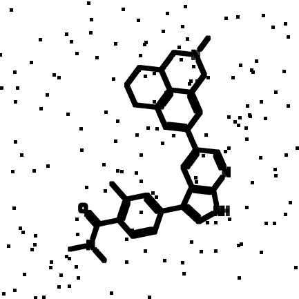 Cc1cc(-c2c[nH]c3ncc(-c4cc5c6c(c4)CN(C)CC6CCC5)cc23)ccc1C(=O)N(C)C